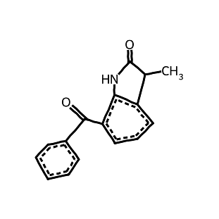 CC1C(=O)Nc2c(C(=O)c3ccccc3)cccc21